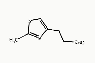 Cc1nc(CCC=O)cs1